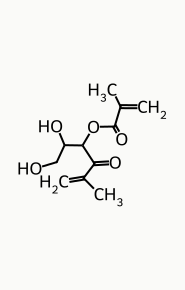 C=C(C)C(=O)OC(C(=O)C(=C)C)C(O)CO